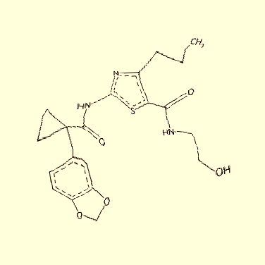 CCCc1nc(NC(=O)C2(c3ccc4c(c3)OCO4)CC2)sc1C(=O)NCCO